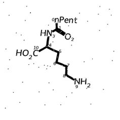 CCCCCC(=O)NC(CCCCN)C(=O)O